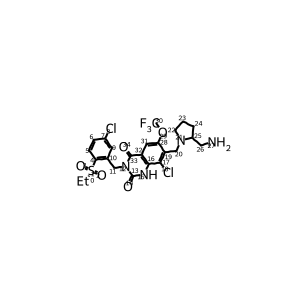 CCS(=O)(=O)c1ccc(Cl)cc1Cn1c(=O)[nH]c2c(Cl)c(CN3CCCC3CN)c(OC(F)(F)F)cc2c1=O